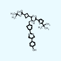 CC(C)(C)OC(=O)C1CC(C(=O)[C@H](Cc2ccc(-c3ncc(-c4ccc(O)cc4)cn3)cc2)NC(=O)c2ccc(C(C)(C)C)s2)C1